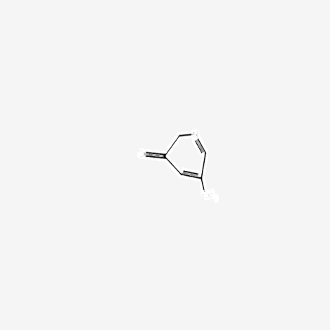 CC1=CC(=O)CN=C1